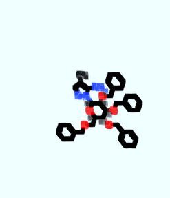 N#Cc1cnn([C@@H]2O[C@H](COCc3ccccc3)[C@@H](OCc3ccccc3)[C@H](OCc3ccccc3)[C@H]2OCc2ccccc2)c1N